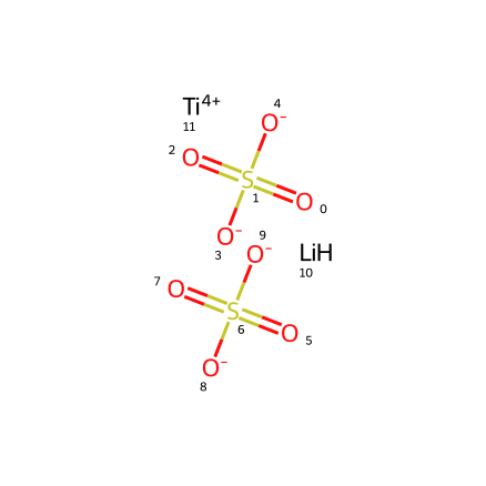 O=S(=O)([O-])[O-].O=S(=O)([O-])[O-].[LiH].[Ti+4]